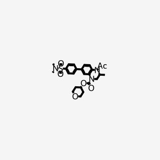 CC(=O)N1c2ccc(-c3ccc(S(=O)(=O)N(C)C)cc3)cc2N(C(=O)OC2CCOCC2)CC1C